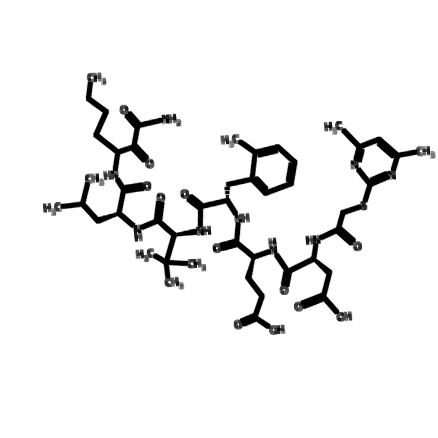 CCCCC(NC(=O)[C@H](CC(C)C)NC(=O)[C@@H](NC(=O)[C@H](Cc1ccccc1C)NC(=O)[C@H](CCC(=O)O)NC(=O)[C@H](CC(=O)O)NC(=O)CSc1nc(C)cc(C)n1)C(C)(C)C)C(=O)C(N)=O